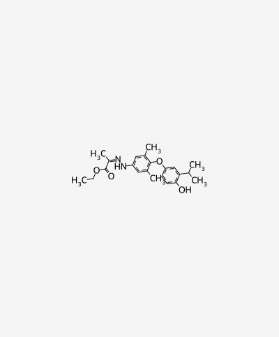 CCOC(=O)C(C)=NNc1cc(C)c(Oc2ccc(O)c(C(C)C)c2)c(C)c1